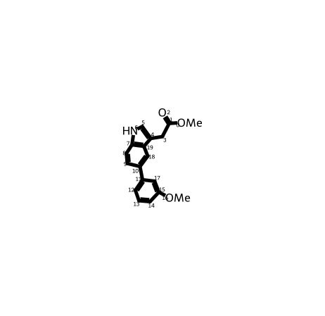 COC(=O)Cc1c[nH]c2ccc(-c3cccc(OC)c3)cc12